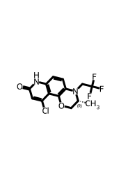 C[C@@H]1COc2c(ccc3[nH]c(=O)cc(Cl)c23)N1CC(F)(F)F